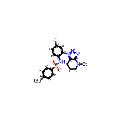 CCN1CCCc2c1nnn2-c1cc(Cl)ccc1NS(=O)(=O)c1ccc(C(C)(C)C)cc1